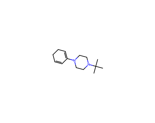 CC(C)(C)N1CCN(C2=CC[CH]C=C2)CC1